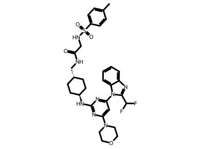 Cc1ccc(S(=O)(=O)NCC(=O)NC[C@H]2CC[C@H](Nc3nc(N4CCOCC4)cc(-n4c(C(F)F)nc5ccccc54)n3)CC2)cc1